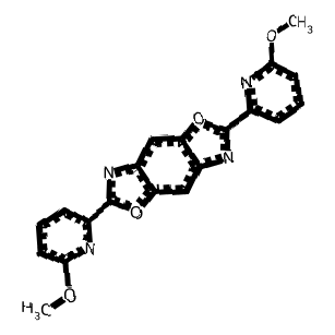 COc1cccc(-c2nc3cc4oc(-c5cccc(OC)n5)nc4cc3o2)n1